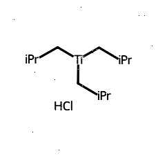 CC(C)[CH2][Ti]([CH2]C(C)C)[CH2]C(C)C.Cl